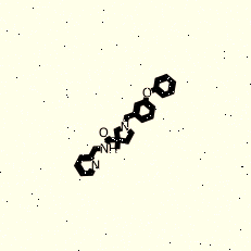 CC1(C(=O)NCc2ccccn2)CCN(Cc2cccc(Oc3ccccc3)c2)C1